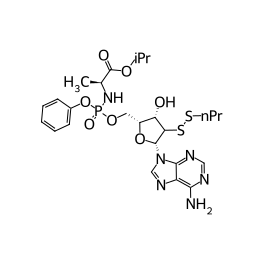 CCCSSC1[C@@H](O)[C@@H](COP(=O)(N[C@@H](C)C(=O)OC(C)C)Oc2ccccc2)O[C@H]1n1cnc2c(N)ncnc21